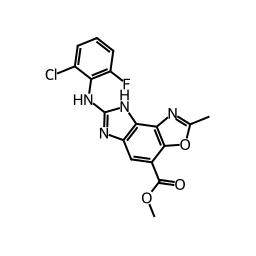 COC(=O)c1cc2nc(Nc3c(F)cccc3Cl)[nH]c2c2nc(C)oc12